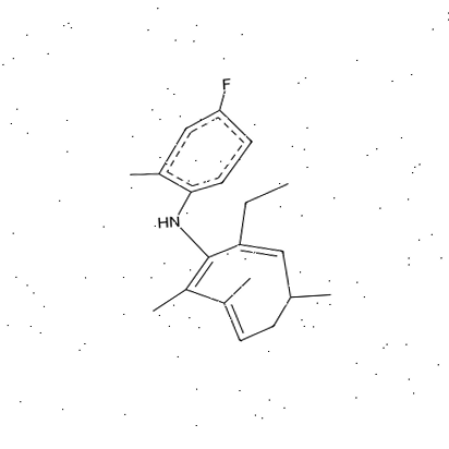 CCC1=C/C(C)C/C=C(C)/C(C)=C\1Nc1ccc(F)cc1C